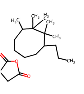 CCCC1CCCCC(C)C(C)(C)C1(C)C.O=C1CCC(=O)O1